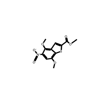 COC(=O)c1cc2c(OC)c([N+](=O)[O-])cc(OC)c2s1